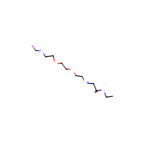 CCNC(=O)CNCCOCCOCCNCI